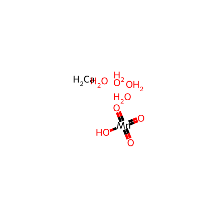 O.O.O.O.[CaH2].[O]=[Mn](=[O])(=[O])[OH]